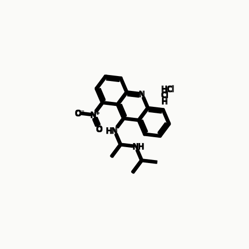 CC(C)NC(C)Nc1c2ccccc2nc2cccc([N+](=O)[O-])c12.Cl.Cl